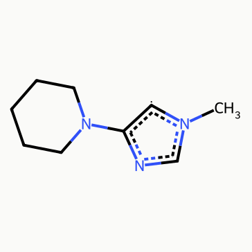 Cn1[c]c(N2CCCCC2)nc1